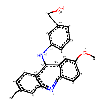 COc1ccc2nc3cc(C)ccc3c(Nc3cccc(CO)c3)c2c1